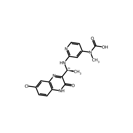 C[C@H](Nc1cc(N(C)C(=O)O)ccn1)c1nc2cc(Cl)ccc2[nH]c1=O